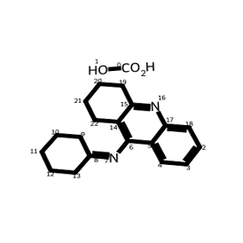 O=C(O)O.c1ccc2c(N=C3CCCCC3)c3c(nc2c1)CCCC3